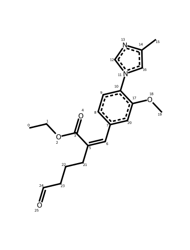 CCOC(=O)C(=Cc1ccc(-n2cnc(C)c2)c(OC)c1)CCCC=O